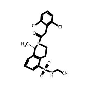 C[C@H]1c2cccc(S(=O)(=O)NCC#N)c2CCN1C(=O)Cc1c(Cl)cccc1Cl